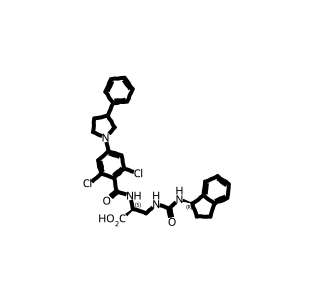 O=C(NC[C@H](NC(=O)c1c(Cl)cc(N2CCC(c3ccccc3)C2)cc1Cl)C(=O)O)N[C@@H]1CCc2ccccc21